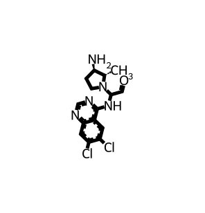 C[C@H]1[C@H](N)CCN1C(C=O)Nc1ncnc2cc(Cl)c(Cl)cc12